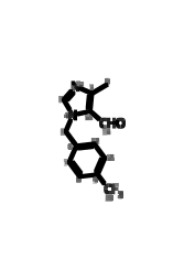 Cc1ncn(Cc2ccc(C(F)(F)F)cc2)c1C=O